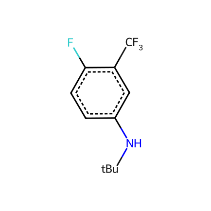 CC(C)(C)Nc1ccc(F)c(C(F)(F)F)c1